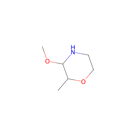 COC1NCCOC1C